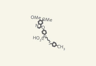 COc1cc2nccc(Oc3ccc(N(CCCSc4ccc(C)cc4)C(=O)O)cc3)c2cc1OC